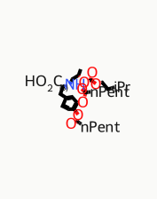 CCCCCC(=O)Oc1ccc(C[C@H](NCC(C)OC(=O)OCCC(C)C)C(=O)O)cc1OC(=O)CCCCC